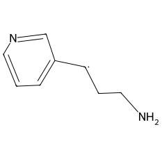 NCC[CH]c1cccnc1